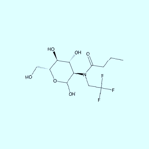 CCCC(=O)N(CC(F)(F)F)[C@H]1C(O)O[C@H](CO)[C@@H](O)[C@@H]1O